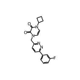 O=c1c(=O)n(C2CCC2)ccn1Cc1ccc(-c2cccc(F)c2)nn1